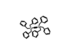 C(#C[Si](Cc1ccccc1)(Cc1ccccc1)Cc1ccccc1)[Si](Cc1ccccc1)(Cc1ccccc1)Cc1ccccc1